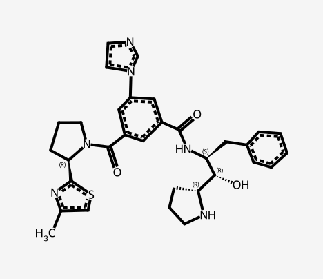 Cc1csc([C@H]2CCCN2C(=O)c2cc(C(=O)N[C@@H](Cc3ccccc3)[C@H](O)[C@H]3CCCN3)cc(-n3ccnc3)c2)n1